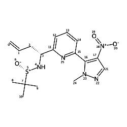 C=CC[C@@H](N[S@@+]([O-])C(C)(C)C)c1cccc(-c2c([N+](=O)[O-])cnn2C)n1